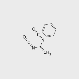 C=C(N=C=O)N=C=O.c1ccccc1